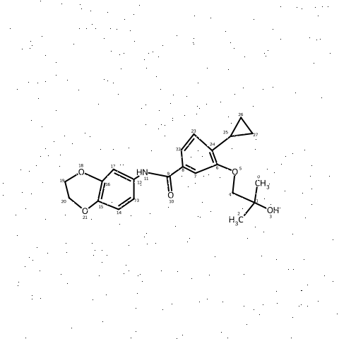 CC(C)(O)COc1cc(C(=O)Nc2ccc3c(c2)OCCO3)ccc1C1CC1